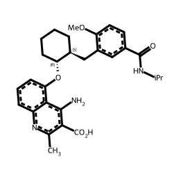 COc1ccc(C(=O)NC(C)C)cc1C[C@@H]1CCCC[C@H]1Oc1cccc2nc(C)c(C(=O)O)c(N)c12